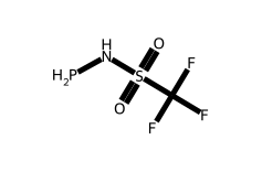 O=S(=O)(NP)C(F)(F)F